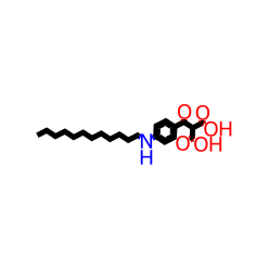 CCCCCCCCCCCCNc1ccc(C(=O)C(C(=O)O)C(=O)O)cc1